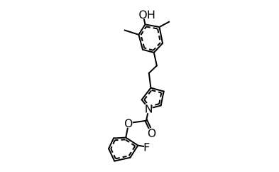 Cc1cc(CCc2ccn(C(=O)Oc3ccccc3F)c2)cc(C)c1O